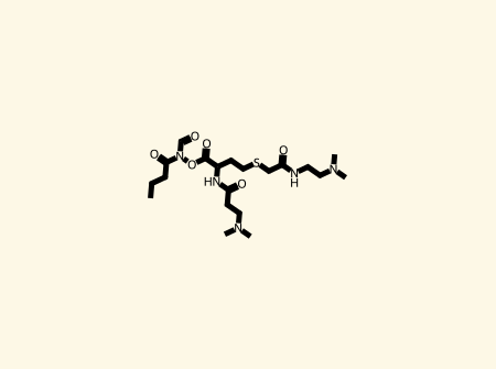 CCCC(=O)N(C=O)OC(=O)C(CCSCC(=O)NCCN(C)C)NC(=O)CCN(C)C